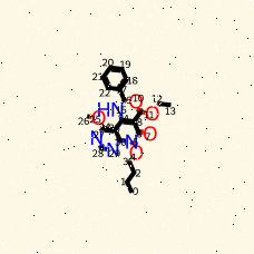 CCCCOn1c(=O)c(C(=O)OCC)c(NCc2ccccc2)c2c(OC)ncnc21